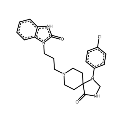 O=C1NCN(c2ccc(Cl)cc2)C12CCN(CCCn1c(=O)[nH]c3ccccc31)CC2